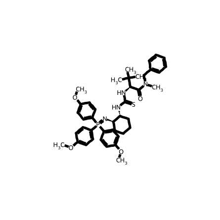 COc1ccc(P(=N[C@@H]2CCCC[C@H]2NC(=S)N[C@H](C(=O)N(C)Cc2ccccc2)C(C)(C)C)(c2ccc(OC)cc2)c2ccc(OC)cc2)cc1